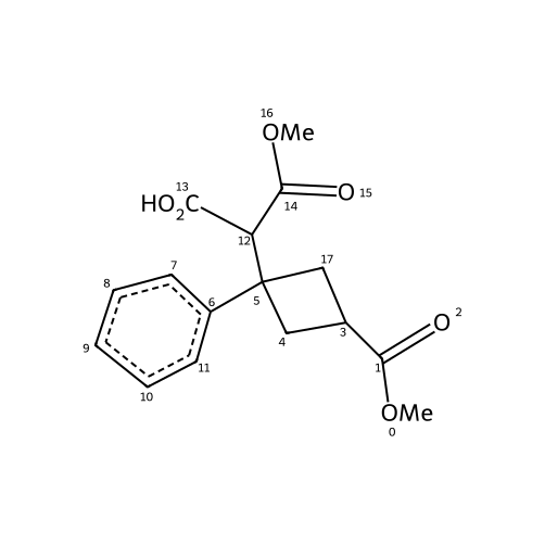 COC(=O)C1CC(c2ccccc2)(C(C(=O)O)C(=O)OC)C1